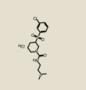 CN(C)CCNC(=O)N1CCCC(S(=O)(=O)c2cccc(Cl)c2)C1.Cl